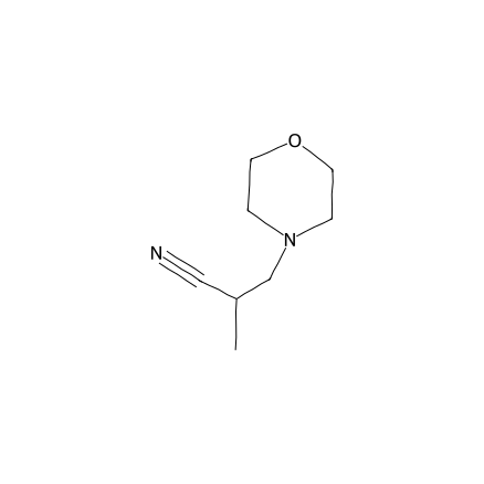 CC(C#N)CN1CCOCC1